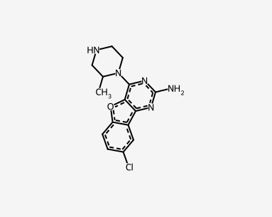 CC1CNCCN1c1nc(N)nc2c1oc1ccc(Cl)cc12